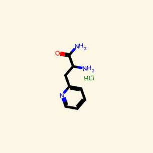 Cl.NC(=O)C(N)Cc1ccccn1